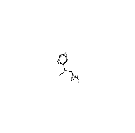 CC(CN)c1cncs1